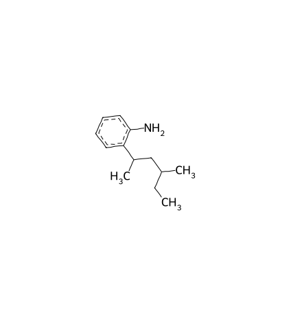 CCC(C)CC(C)c1ccccc1N